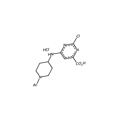 CC(=O)N1CCC(Nc2cc(C(=O)O)nc(Cl)n2)CC1.Cl